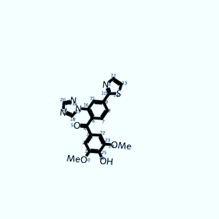 COc1cc(C(=O)c2ccc(-c3nccs3)cc2-n2cncn2)cc(OC)c1O